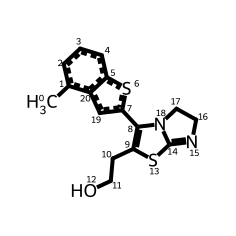 Cc1cccc2sc(C3=C(CCO)SC4=NCCN43)cc12